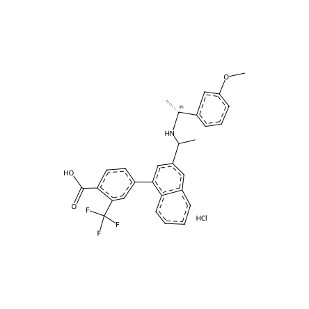 COc1cccc([C@@H](C)NC(C)c2cc(-c3ccc(C(=O)O)c(C(F)(F)F)c3)c3ccccc3c2)c1.Cl